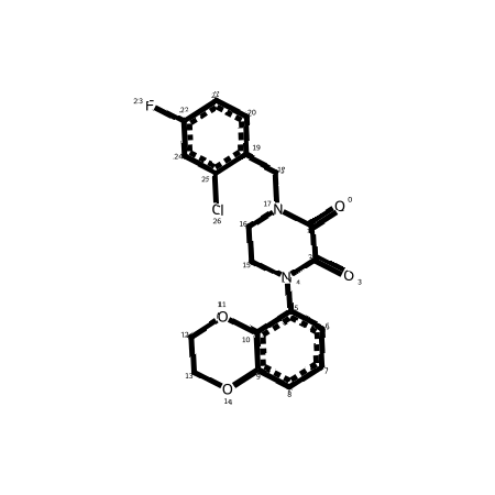 O=C1C(=O)N(c2cccc3c2OCCO3)CCN1Cc1ccc(F)cc1Cl